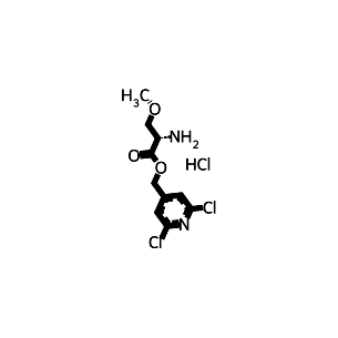 COC[C@H](N)C(=O)OCc1cc(Cl)nc(Cl)c1.Cl